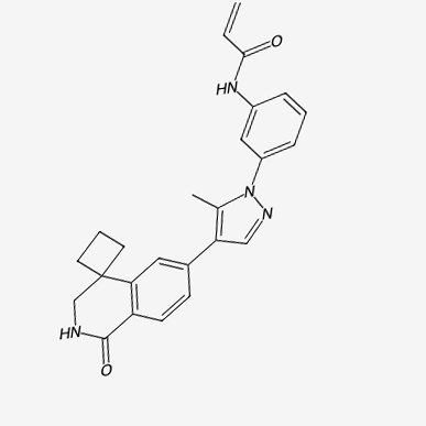 C=CC(=O)Nc1cccc(-n2ncc(-c3ccc4c(c3)C3(CCC3)CNC4=O)c2C)c1